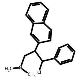 CN(C)CC(c1ccc2ccccc2c1)C(Cl)c1ccccc1